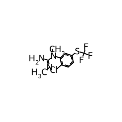 CN=C(N)N(C)c1cc(SC(F)(F)F)ccc1Cl